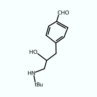 CC(C)(C)NCC(O)Cc1ccc(C=O)cc1